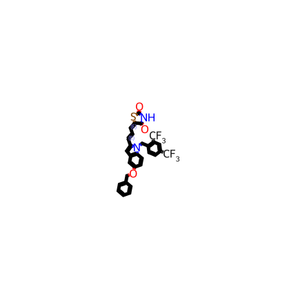 O=C1NC(=O)/C(=C\C=C\c2cc3cc(OCc4ccccc4)ccc3n2Cc2ccc(C(F)(F)F)cc2C(F)(F)F)S1